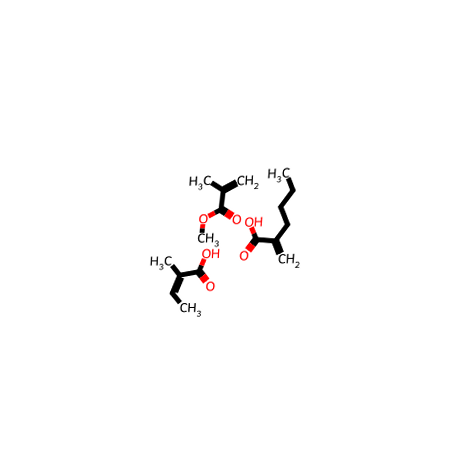 C=C(C)C(=O)OC.C=C(CCCC)C(=O)O.CC=C(C)C(=O)O